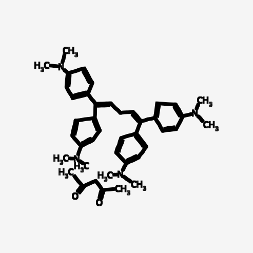 CC(=O)CC(C)=O.CN(C)c1ccc(C(=CCC=C(c2ccc(N(C)C)cc2)c2ccc(N(C)C)cc2)c2ccc(N(C)C)cc2)cc1